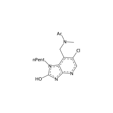 CCCCCn1c(O)nc2ncc(Cl)c(CN(C)C(C)=O)c21